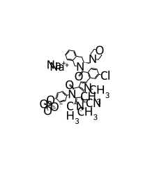 Cc1c(N(C(=O)c2cc(-c3cc(Cl)ccc3C(=O)N3Cc4ccccc4C[C@H]3CN3CCOCC3)n(C)c2C)c2ccc(OP(=O)([O-])[O-])cc2)cc(C#N)n1C.[Na+].[Na+]